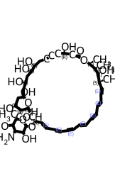 CC1OC(O[C@H]2/C=C/C=C/C=C/C=C/C=C/C=C/C=C/[C@H](C)[C@@H](O)[C@@H](C)[C@H](C)OC(=O)C[C@H](O)CCCC[C@@H](O)[C@H](O)C[C@H](O)C[C@]3(O)C[C@H](O)[C@@H](C(=O)O)[C@H](C2)O3)C(O)C(N)C1O